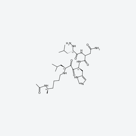 CC(=O)N[C@H](C)CCCCN[C@@H](CC(C)C)C(=O)C(=O)[C@H](Cc1cnc[nH]1)NC(=O)C(CC(N)=O)NC(=O)[C@H](CC(C)C)NN